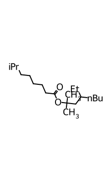 CCCCC(CC)CC(C)(C)OC(=O)CCCCCC(C)C